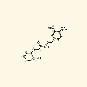 CC(=O)Oc1ccc(C=CNC(=O)COC2CC(C)CCC2C(C)C)cc1OC(C)=O